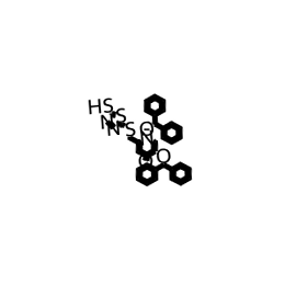 O=c1cc(CSc2nnc(S)s2)n(OC(c2ccccc2)c2ccccc2)cc1OC(c1ccccc1)c1ccccc1